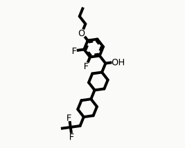 CCCOc1ccc(C(O)C2CCC(C3CCC(CC(C)(F)F)CC3)CC2)c(F)c1F